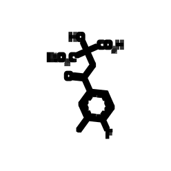 CCOC(=O)C(O)(CC(=O)c1ccc(F)c(C)c1)C(=O)O